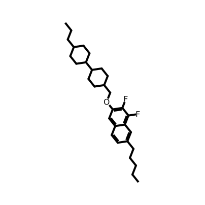 CCCCCc1ccc2cc(OCC3CCC(C4CCC(CCC)CC4)CC3)c(F)c(F)c2c1